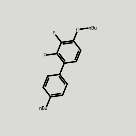 CCCCOc1ccc(-c2ccc(CCCC)cc2)c(F)c1F